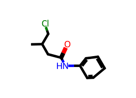 CC(CCl)CC(=O)Nc1ccccc1